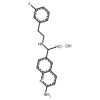 CC(NCCc1cccc(F)c1)c1ccc2nc(N)ccc2c1.Cl.Cl